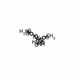 COc1ccc2c(c1)C(=O)N([C@@]1(c3cc4nc(-c5ccc(S(N)(=O)=O)cc5)ccc4o3)NC(=O)NC1=O)C2